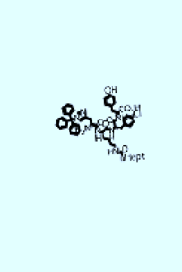 CCCCCCCC(=O)NCCCC[C@@H](NC(=O)[C@@H](N)Cc1cn(C(c2ccccc2)(c2ccccc2)c2ccccc2)cn1)C(=O)N[C@H](Cc1ccc(Cl)cc1)C(=O)N[C@@H](Cc1ccc(O)cc1)C(=O)O